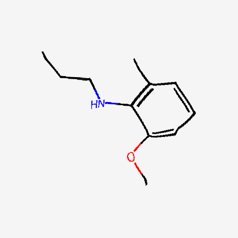 CCCNc1c(C)cccc1OC